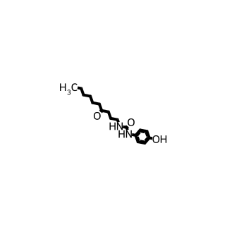 CCCCCCC(=O)CCCNC(=O)Nc1ccc(O)cc1